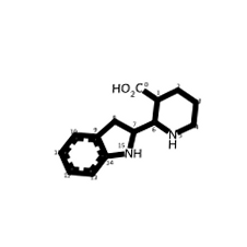 O=C(O)C1CCCNC1C1Cc2ccccc2N1